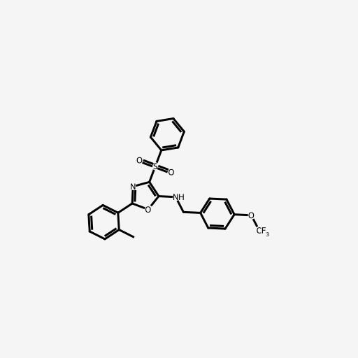 Cc1ccccc1-c1nc(S(=O)(=O)c2ccccc2)c(NCc2ccc(OC(F)(F)F)cc2)o1